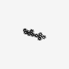 c1ccc(-c2c3ccccc3c(-c3ccc(-c4ccc5c(c4)c4ccccc4c4c5ccc5c6ccc7ccccc7c6oc54)cc3)c3ccccc23)cc1